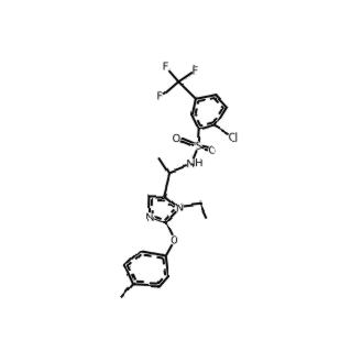 CCn1c(C(C)NS(=O)(=O)c2cc(C(F)(F)F)ccc2Cl)cnc1Oc1ccc(C)cc1